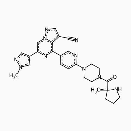 Cn1cc(-c2cn3ncc(C#N)c3c(-c3ccc(N4CCN(C(=O)[C@@]5(C)CCCN5)CC4)nc3)n2)cn1